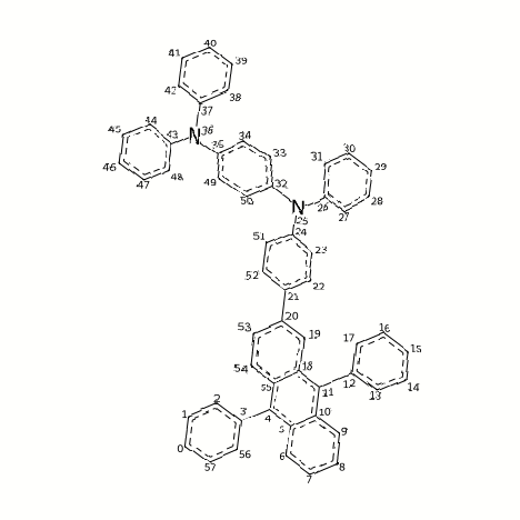 c1ccc(-c2c3ccccc3c(-c3ccccc3)c3cc(-c4ccc(N(c5ccccc5)c5ccc(N(c6ccccc6)c6ccccc6)cc5)cc4)ccc23)cc1